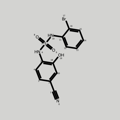 N#Cc1ccc(NS(=O)(=O)Nc2ccccc2Br)c(O)c1